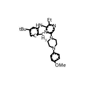 CCc1ncc(N2CCN(c3ccc(OC)cc3)CC2)nc1Nc1cc(C(C)(C)C)ccc1C